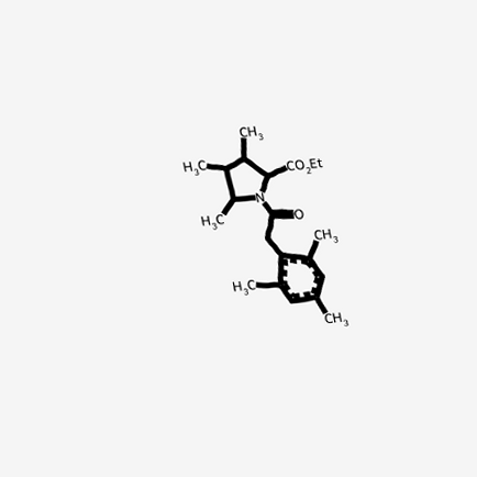 CCOC(=O)C1C(C)C(C)C(C)N1C(=O)Cc1c(C)cc(C)cc1C